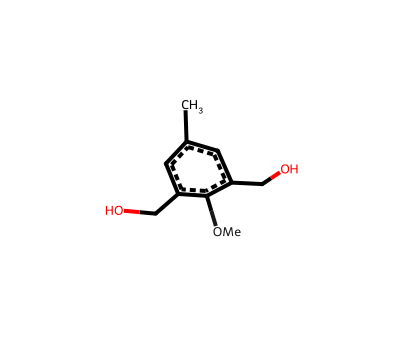 COc1c(CO)cc(C)cc1CO